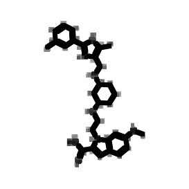 COc1ccc2cc(C(=O)O)n(CCO[C@@H]3CCC[C@H](OCc4nc(-c5cccc(C)c5)oc4C)C3)c2c1